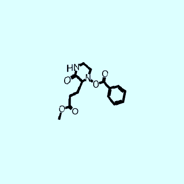 COC(=O)CCC1C(=O)NCCN1OC(=O)c1ccccc1